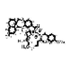 C=CC[C@H](C)N(Cc1ccc(OC)cc1)S(=O)(=O)NC(=O)c1ccc2c(c1)N(C[C@@H]1CC[C@H]1[C@@H](O)C=C)C[C@@]1(CCCc3cc(Cl)ccc31)CO2